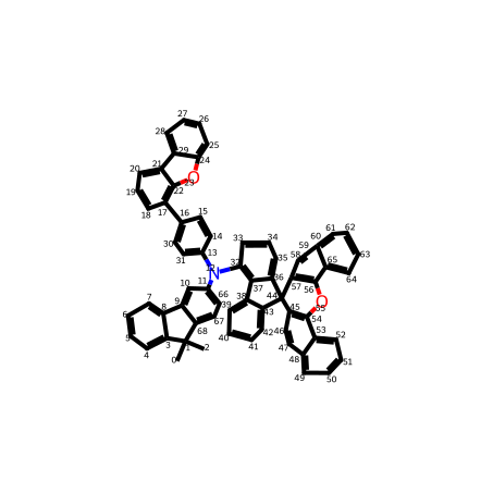 CC1(C)c2ccccc2-c2cc(N(c3ccc(-c4cccc5c4oc4ccccc45)cc3)c3cccc4c3-c3ccccc3C43c4ccc5ccccc5c4Oc4c3ccc3ccccc43)ccc21